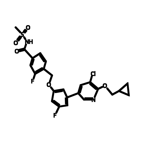 CS(=O)(=O)NC(=O)c1ccc(COc2cc(F)cc(-c3cnc(OCC4CC4)c(Cl)c3)c2)c(F)c1